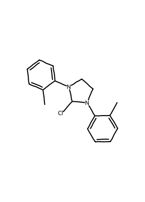 Cc1ccccc1N1CCN(c2ccccc2C)C1Cl